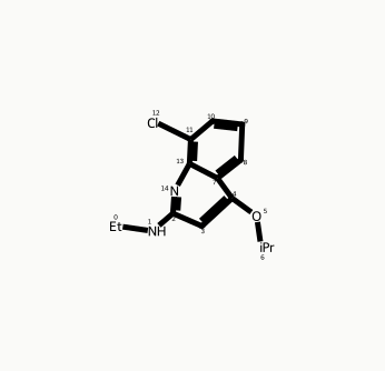 CCNc1cc(OC(C)C)c2cccc(Cl)c2n1